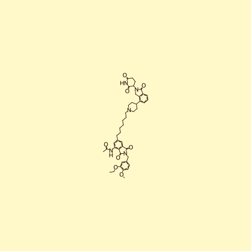 CCOc1cc(CN2C(=O)c3cc(CCCCCCCN4CCC(c5cccc6c5CN(C5CCC(=O)NC5=O)C6=O)CC4)cc(NC(C)=O)c3C2=O)ccc1OC